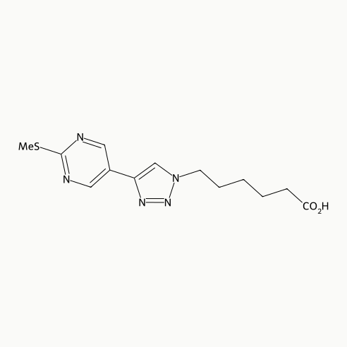 CSc1ncc(-c2cn(CCCCCC(=O)O)nn2)cn1